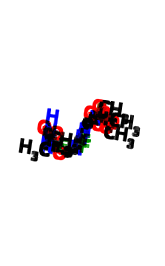 CCOc1cc([C@@H](CS(C)(=O)=O)N2C(=O)c3ccc(N4CCN([C@@H]5CCN(Cc6ccc(Oc7cc8c(cc7F)c([C@@]7(C)CCC(=O)NC7=O)nn8C)cc6)CC5(F)F)CC4)cc3C2=O)ccc1OC